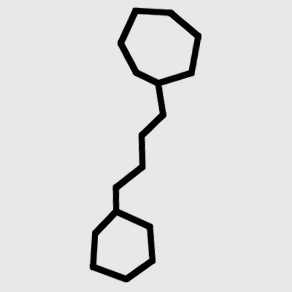 C1CCCC(CCCCC2CCCCC2)CC1